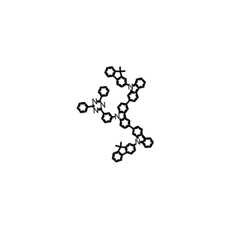 CC1(C)c2ccccc2-c2ccc(-n3c4ccccc4c4ccc(-c5ccc6c(c5)c5cc(-c7ccc8c9ccccc9n(-c9ccc%10c(c9)C(C)(C)c9ccccc9-%10)c8c7)ccc5n6-c5cccc(-c6nc(-c7ccccc7)nc(-c7ccccc7)n6)c5)cc43)cc21